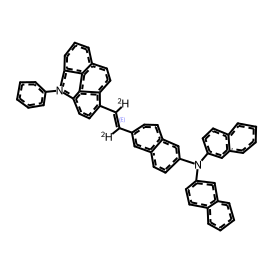 [2H]/C(=C(/[2H])c1ccc2c3c1ccc1cccc(c13)n2-c1ccccc1)c1ccc2cc(N(c3ccc4ccccc4c3)c3ccc4ccccc4c3)ccc2c1